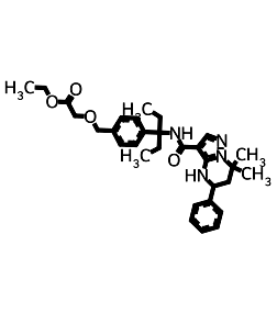 CCOC(=O)COCc1ccc(C(CC)(CC)NC(=O)c2cnn3c2NC(c2ccccc2)CC3(C)C)cc1